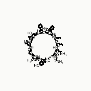 CCCC[C@H]1C(=O)N[C@@H](CCCN)C(=O)N[C@H](C(=O)NCC(N)=O)CSCC(=O)N[C@@H](Cc2ccc(O)cc2)C(=O)N(C)[C@@H](C)C(=O)N[C@@H](CC(N)=O)C(=O)N2CCC[C@H]2C(=O)N[C@@H](Cc2cnc[nH]2)C(=O)N[C@@H](CC(C)C)C(=O)N2C[C@H](O)C[C@H]2C(=O)N[C@@H](Cc2c[nH]c3ccccc23)C(=O)C[C@@H](CO)C(=O)N[C@@H](Cc2csc3ccccc23)c2nnnn2[C@@H](CCCC)C(=O)N1C